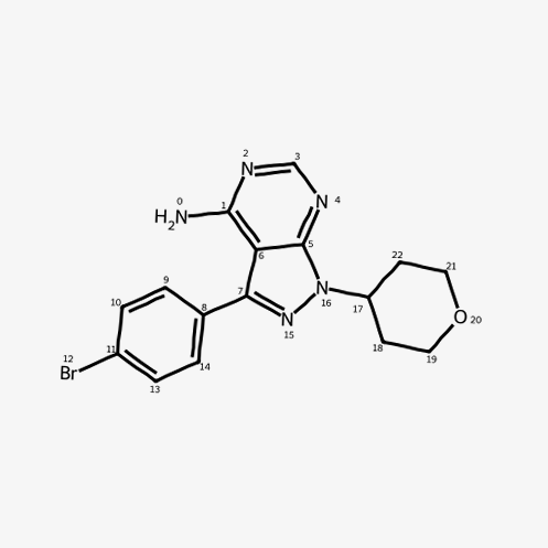 Nc1ncnc2c1c(-c1ccc(Br)cc1)nn2C1CCOCC1